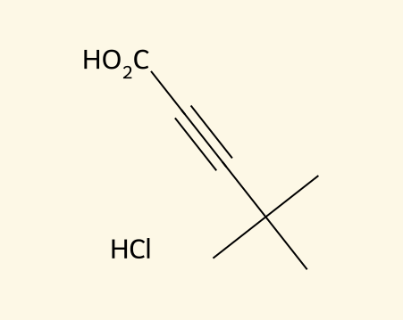 CC(C)(C)C#CC(=O)O.Cl